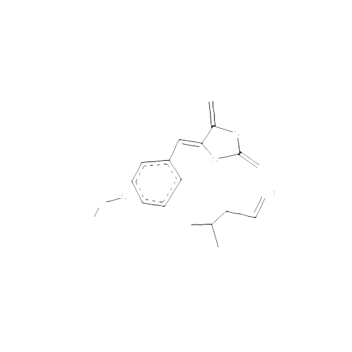 C=CCC(C)C(=O)O.CCCCCCCCON=O.O=C1NC(=O)C(=Cc2ccccc2)N1